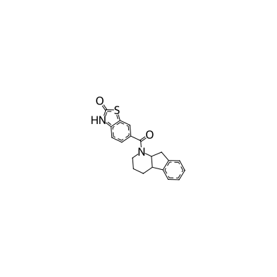 O=C(c1ccc2[nH]c(=O)sc2c1)N1CCCC2c3ccccc3CC21